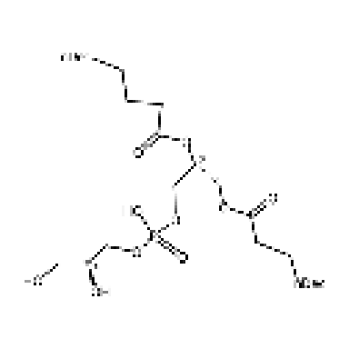 CCCCCCCCCCCCCC(=O)O[C@H](COC(=O)CCCCCCCCCCCC)COP(=O)(O)OC[C@@H](O)CO